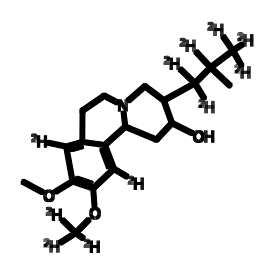 [2H]c1c2c(c([2H])c(OC([2H])([2H])[2H])c1OC)C1CC(O)C(C([2H])([2H])C([2H])(C)C([2H])([2H])[2H])CN1CC2